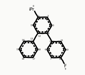 CC(C)c1ccc(-c2ccc(F)cc2)c(-c2ccccc2)c1